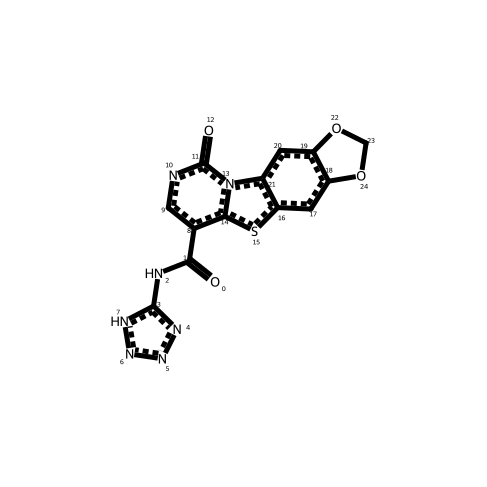 O=C(Nc1nnn[nH]1)c1cnc(=O)n2c1sc1cc3c(cc12)OCO3